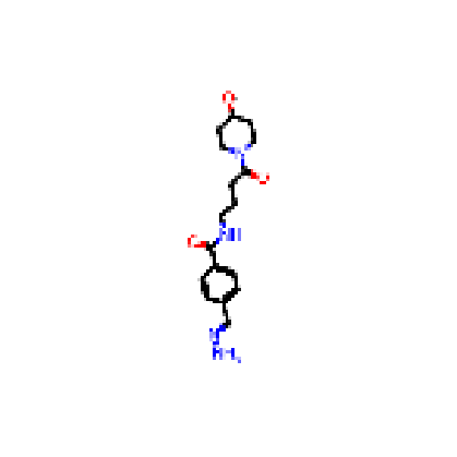 NN=Cc1ccc(C(=O)NCCCC(=O)N2CCC([O])CC2)cc1